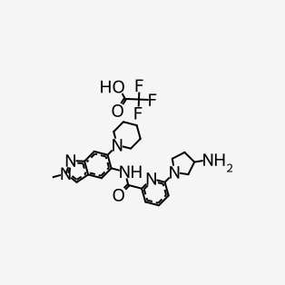 Cn1cc2cc(NC(=O)c3cccc(N4CCC(N)C4)n3)c(N3CCCCC3)cc2n1.O=C(O)C(F)(F)F